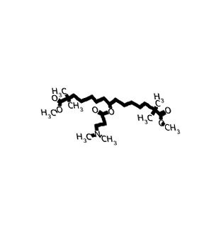 COC(=O)C(C)(C)CCCCCC(CCCCCC(C)(C)C(=O)OC)OC(=O)CCN(C)C